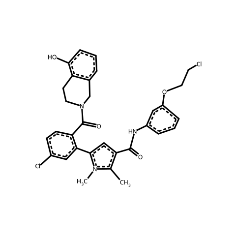 Cc1c(C(=O)Nc2cccc(OCCCl)c2)cc(-c2cc(Cl)ccc2C(=O)N2CCc3c(O)cccc3C2)n1C